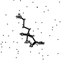 CC(C)(C)C(=O)N=S(C)(=O)CCCO